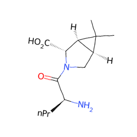 CCC[C@H](N)C(=O)N1C[C@H]2[C@@H]([C@H]1C(=O)O)C2(C)C